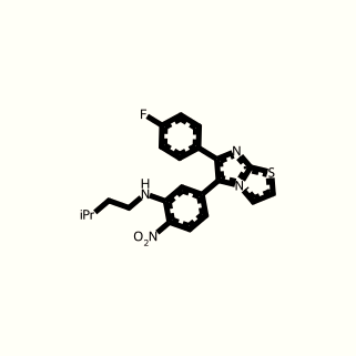 CC(C)CCNc1cc(-c2c(-c3ccc(F)cc3)nc3sccn23)ccc1[N+](=O)[O-]